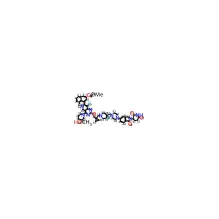 CCc1cccc2cc(OCOC)cc(-c3ncc4c(N5CCC[C@@](C)(O)C5)nc(OCC5(CN6CCC(F)(CN7CCN(c8ccc9c(c8)CN([C@H]8CCC(=O)NC8=O)C9=O)CC7)CC6)CC5)nc4c3F)c12